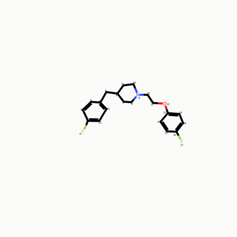 Fc1ccc(CC2CCN(CCOc3ccc(F)cc3)CC2)cc1